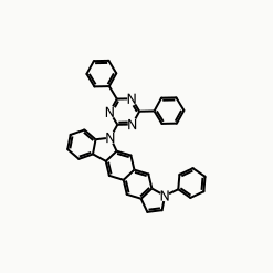 c1ccc(-c2nc(-c3ccccc3)nc(-n3c4ccccc4c4cc5cc6ccn(-c7ccccc7)c6cc5cc43)n2)cc1